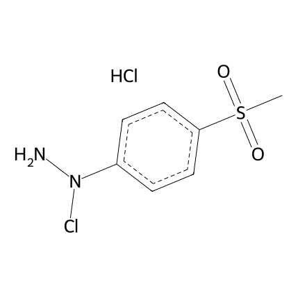 CS(=O)(=O)c1ccc(N(N)Cl)cc1.Cl